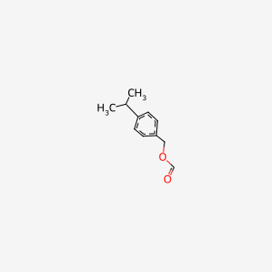 CC(C)c1ccc(COC=O)cc1